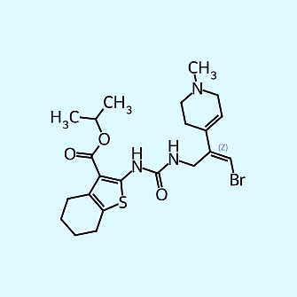 CC(C)OC(=O)c1c(NC(=O)NC/C(=C\Br)C2=CCN(C)CC2)sc2c1CCCC2